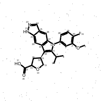 COc1cc(-n2c(C(C)C)c([C@H]3COC(C(=O)O)C3)c3cc4[nH]ncc4cc32)ccc1F